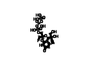 C#C[C@@](O)(CO)[C@@H](O[C@](C)(CF)COP(=O)(O)OP(=O)(O)OP(=O)(O)O)n1ccc(=O)[nH]c1=O